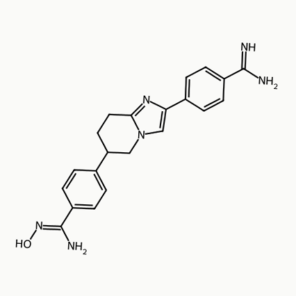 N=C(N)c1ccc(-c2cn3c(n2)CCC(c2ccc(/C(N)=N/O)cc2)C3)cc1